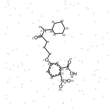 CN(C(=O)CCCOc1ccc([N+](=O)[O-])c(C(=O)O)c1)C1CCCCC1